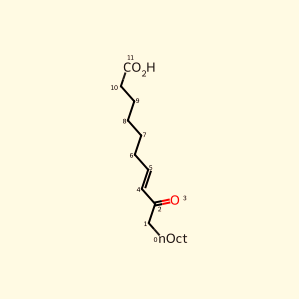 CCCCCCCCCC(=O)C=CCCCCCC(=O)O